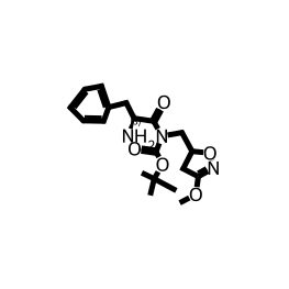 COC1=NOC(CN(C(=O)OC(C)(C)C)C(=O)[C@@H](N)Cc2ccccc2)C1